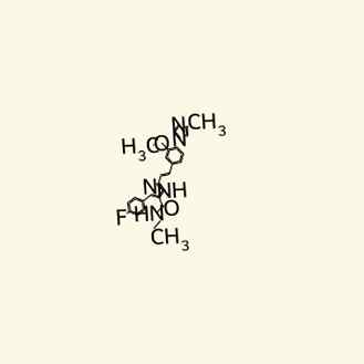 CCCNC(=O)c1[nH]c(/C=C/c2ccc(-n3cnc(C)c3)c(OC)c2)nc1-c1ccc(F)cc1